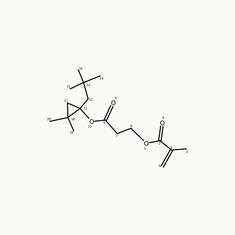 C=C(C)C(=O)OCCC(=O)OC1(CC(C)(C)C)CC1(C)C